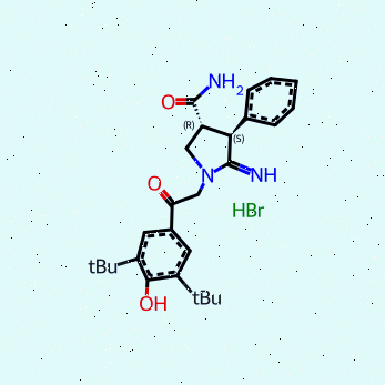 Br.CC(C)(C)c1cc(C(=O)CN2C[C@H](C(N)=O)[C@@H](c3ccccc3)C2=N)cc(C(C)(C)C)c1O